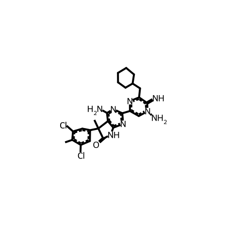 Cc1c(Cl)cc(C2(C)C(=O)Nc3nc(-c4cn(N)c(=N)c(CC5CCCCC5)n4)nc(N)c32)cc1Cl